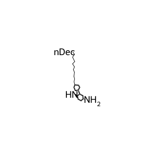 CCCCCCCCCCCCCCCCCCCCc1ccc2c(c1)[nH]c1ccc(N)cc12